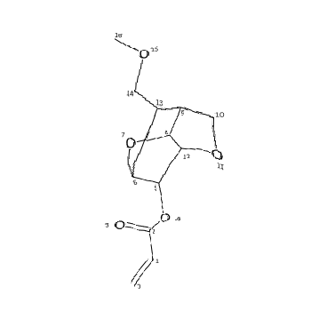 C=CC(=O)OC1C2OC3C(COC31)C2COC